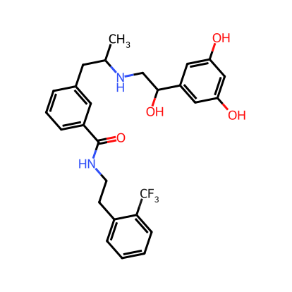 CC(Cc1cccc(C(=O)NCCc2ccccc2C(F)(F)F)c1)NCC(O)c1cc(O)cc(O)c1